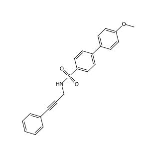 COc1ccc(-c2ccc(S(=O)(=O)NCC#Cc3ccccc3)cc2)cc1